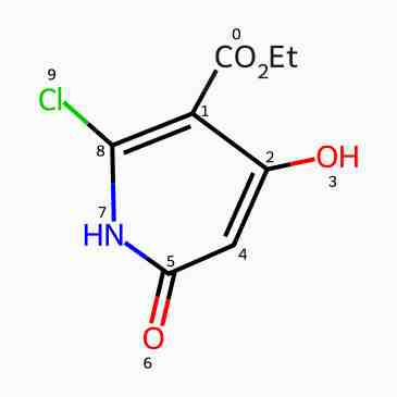 CCOC(=O)c1c(O)cc(=O)[nH]c1Cl